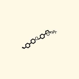 C=CC1CCC(C2CCC(OCC3CCC(C4CCC(CCC)O4)CC3)CC2)CC1